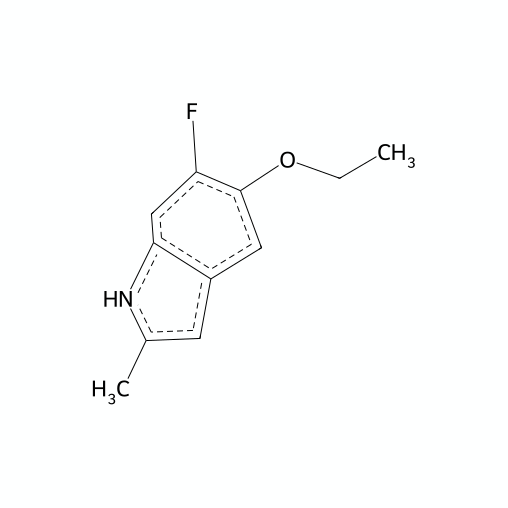 CCOc1cc2cc(C)[nH]c2cc1F